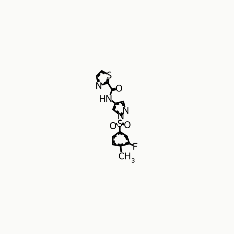 Cc1ccc(S(=O)(=O)n2cc(NC(=O)c3nccs3)cn2)cc1F